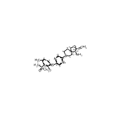 Cc1ccc(Sc2cnc(N3CCC4(CC3)CO[C@@H](C)[C@H]4N)cn2)c(Cl)c1P(C)(C)=O